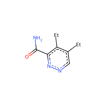 CCc1cnnc(C(N)=O)c1CC